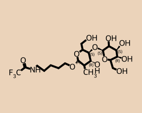 CC1[C@H](OCCCCCNC(=O)C(F)(F)F)OC(CO)[C@@H](O[C@@H]2OC(CO)[C@H](O)[C@H](O)C2O)[C@@H]1O